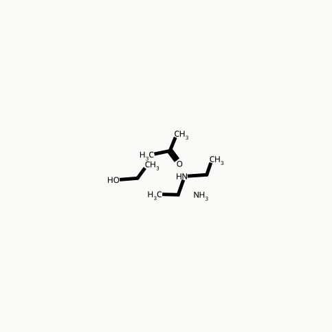 CC(C)=O.CCNCC.CCO.N